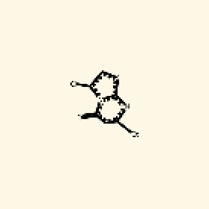 CCc1cc(=O)n2c(Cl)csc2n1